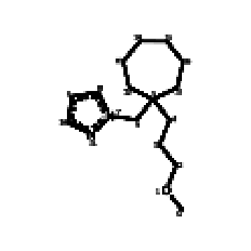 COCCCC1(Cn2cccn2)CCCCCC1